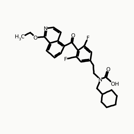 CCOc1nccc2c(C(=O)c3c(F)cc(CCN(CC4CCCCC4)C(=O)O)cc3F)cccc12